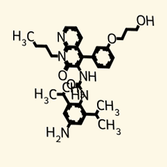 CCCCn1c(=O)c(NC(=O)Nc2c(C(C)C)cc(N)cc2C(C)C)c(-c2cccc(OCCCO)c2)c2cccnc21